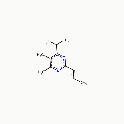 C/C=C/c1nc(C)c(C)c(C(C)C)n1